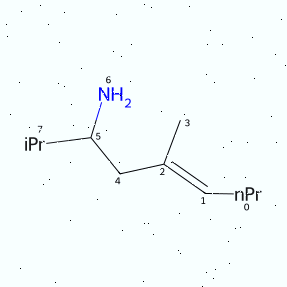 CCC/C=C(\C)CC(N)C(C)C